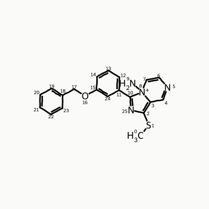 CSC1=C2C=NC=C[N+]2(N)C(c2cccc(OCc3ccccc3)c2)=N1